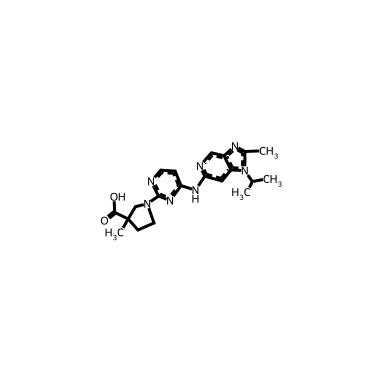 Cc1nc2cnc(Nc3ccnc(N4CCC(C)(C(=O)O)C4)n3)cc2n1C(C)C